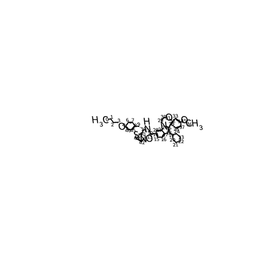 CCCCOc1ccc(C[C@H](NC(=O)c2ccc3c(C4CCCCC4)c4n(c3c2)CCOc2cc(OC)ccc2-4)c2nccs2)cc1